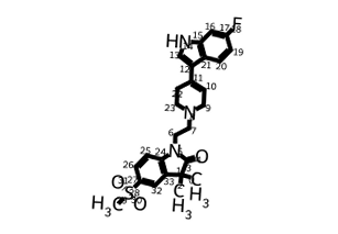 CC1(C)C(=O)N(CCN2CC=C(c3c[nH]c4cc(F)ccc34)CC2)c2ccc(S(C)(=O)=O)cc21